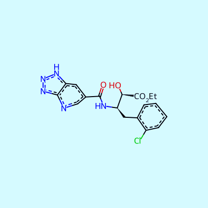 CCOC(=O)[C@H](O)[C@@H](Cc1ccccc1Cl)NC(=O)c1cnc2nn[nH]c2c1